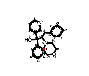 OC(c1cccnc1)(c1cccnc1)C(Cc1ccccc1)N1CCOCC1